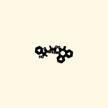 CC1C(=O)N(NC(=O)[C@H](C)NC(=O)[C@](C)(O)c2ccccc2)c2ccccc2-c2ccccc21